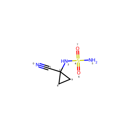 N#CC1(NS(N)(=O)=O)CC1